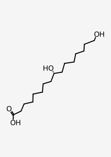 O=C(O)CCCCCCC[C@H](O)CCCCCCCO